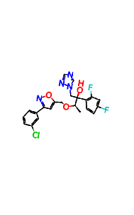 C[C@@H](OCc1cc(-c2cccc(Cl)c2)no1)[C@](O)(Cn1cncn1)c1ccc(F)cc1F